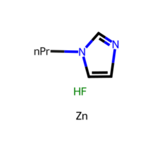 CCCn1ccnc1.F.[Zn]